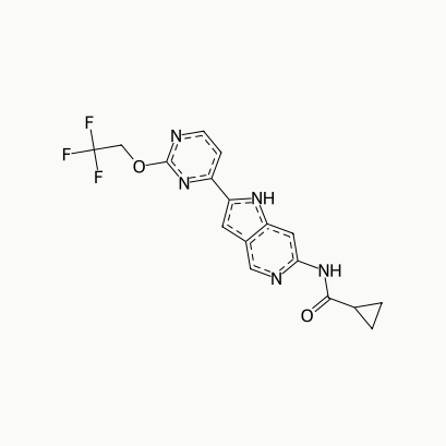 O=C(Nc1cc2[nH]c(-c3ccnc(OCC(F)(F)F)n3)cc2cn1)C1CC1